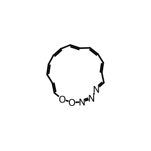 C1=C\C=C\C=C/C=C/C=N/N=N\OO\C=C\C=C/1